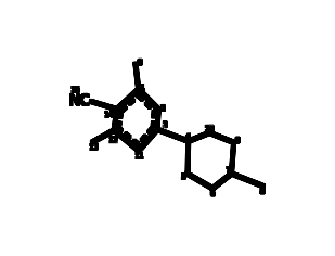 Cc1cc(C2CCC(C)CC2)cc(C)c1C#N